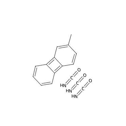 Cc1ccc2c(c1)=c1ccccc1=2.N=C=O.N=C=O.N=C=O